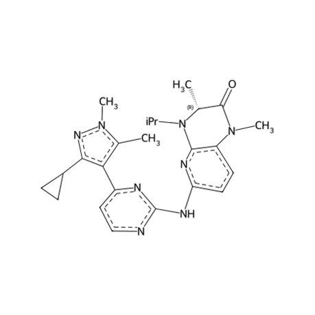 Cc1c(-c2ccnc(Nc3ccc4c(n3)N(C(C)C)[C@H](C)C(=O)N4C)n2)c(C2CC2)nn1C